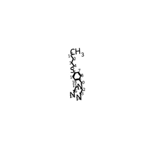 CCCCCSc1ccc(CN(CC#N)CC#N)cc1